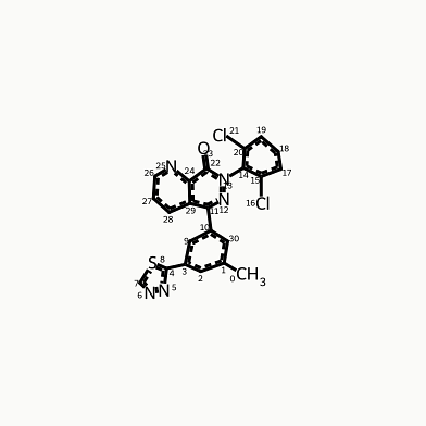 Cc1cc(-c2nncs2)cc(-c2nn(-c3c(Cl)cccc3Cl)c(=O)c3ncccc23)c1